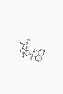 CC(C)(C)OC(=O)N1CC[C@H]2CN(S(=O)(=O)c3cccc4cncc(F)c34)C[C@H]21